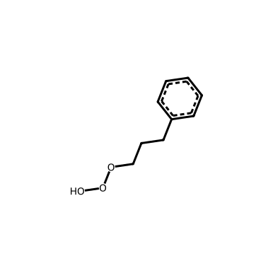 OOOCCCc1ccccc1